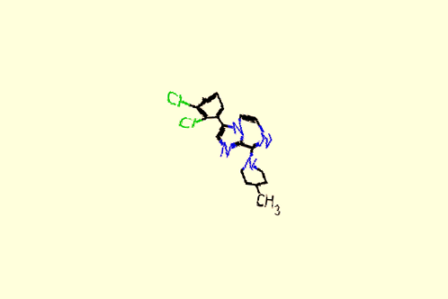 C[C]1CCN(c2nccn3c(-c4cccc(Cl)c4Cl)cnc23)CC1